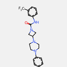 O=C(Nc1cccc(C(F)(F)F)c1)N1CC(N2CCN(c3ccccc3)CC2)C1